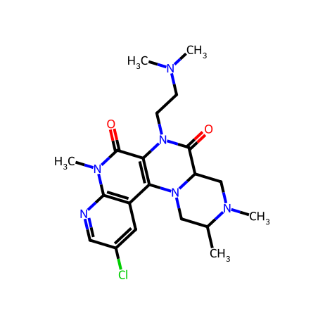 CC1CN2c3c(c(=O)n(C)c4ncc(Cl)cc34)N(CCN(C)C)C(=O)C2CN1C